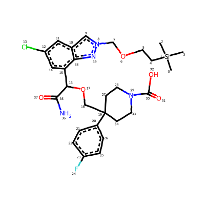 C[Si](C)(C)CCOCn1cc2cc(Cl)cc(C(OCC3(c4ccc(F)cc4)CCN(C(=O)O)CC3)C(N)=O)c2n1